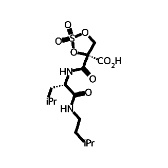 CC(C)CCNC(=O)[C@H](CC(C)C)NC(=O)[C@]1(C(=O)O)COS(=O)(=O)O1